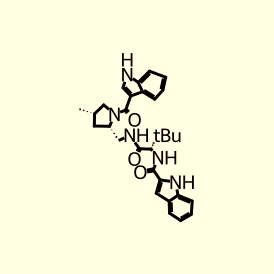 C[C@H]1C[C@@H](CNC(=O)[C@@H](NC(=O)c2cc3ccccc3[nH]2)C(C)(C)C)N(C(=O)c2c[nH]c3ccccc23)C1